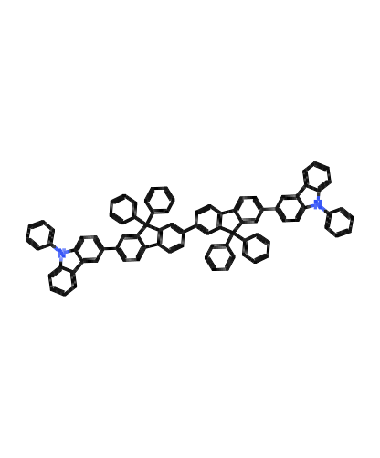 c1ccc(-n2c3ccccc3c3cc(-c4ccc5c(c4)C(c4ccccc4)(c4ccccc4)c4cc(-c6ccc7c(c6)C(c6ccccc6)(c6ccccc6)c6cc(-c8ccc9c(c8)c8ccccc8n9-c8ccccc8)ccc6-7)ccc4-5)ccc32)cc1